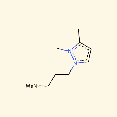 CNCCCn1ccc(C)[n+]1C